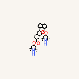 CC1(C)CC(OC(=O)c2cccc3cccc(C4CCC5CC(C(=O)OC6CC(C)(C)NC(C)(C)C6)CCC5C4)c23)CC(C)(C)N1